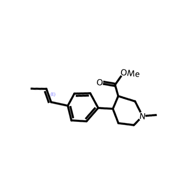 C/C=C/c1ccc(C2CCN(C)CC2C(=O)OC)cc1